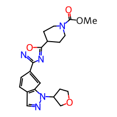 COC(=O)N1CCC(c2nc(-c3ccc4cnn(C5CCOC5)c4c3)no2)CC1